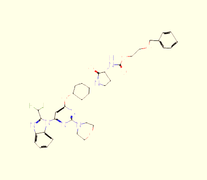 O=C(N[C@H]1CCN([C@H]2CC[C@H](Oc3cc(-n4c(C(F)F)nc5ccccc54)nc(N4CCOCC4)n3)CC2)C1=O)OCCOCc1ccccc1